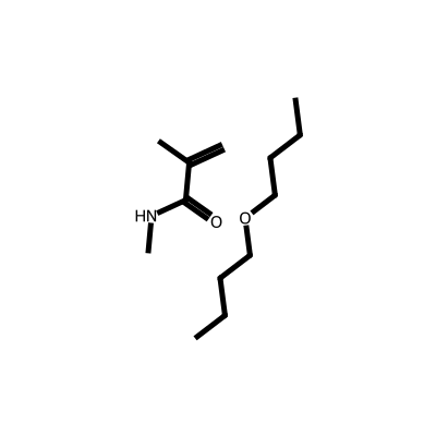 C=C(C)C(=O)NC.CCCCOCCCC